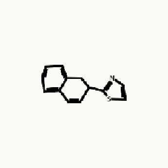 C1=CC(c2nccs2)Cc2ccccc21